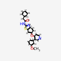 COc1cccc(-c2cnccc2Oc2ccc3nc(NC(=O)Cc4ccccc4)sc3c2)c1